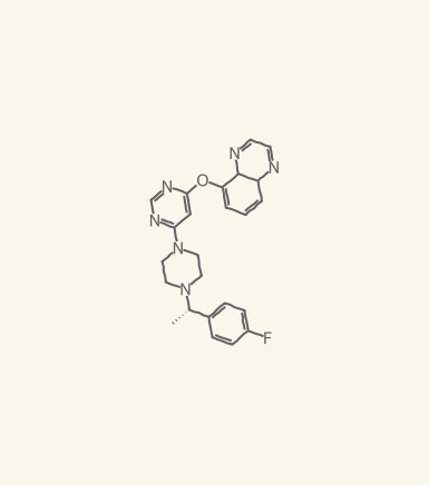 C[C@@H](c1ccc(F)cc1)N1CCN(c2cc(OC3=CC=CC4N=CC=NC34)ncn2)CC1